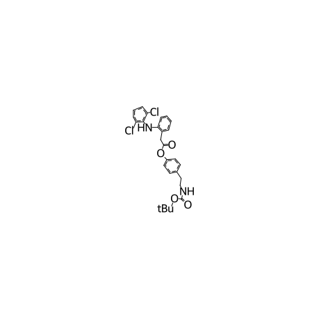 CC(C)(C)OC(=O)NCCc1ccc(OC(=O)Cc2ccccc2Nc2c(Cl)cccc2Cl)cc1